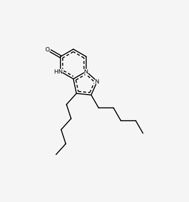 CCCCCc1nn2ccc(=O)[nH]c2c1CCCCC